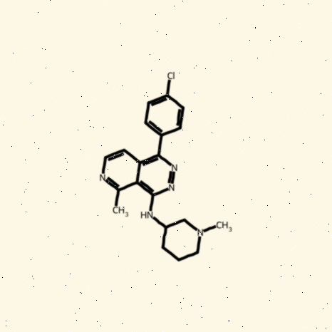 Cc1nccc2c(-c3ccc(Cl)cc3)nnc(NC3CCCN(C)C3)c12